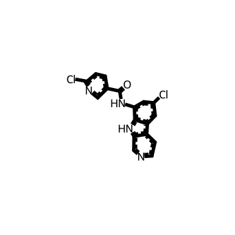 O=C(Nc1cc(Cl)cc2c1[nH]c1cnccc12)c1ccc(Cl)nc1